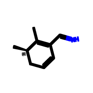 CC1=C(C=N)C=CC[C@H]1C